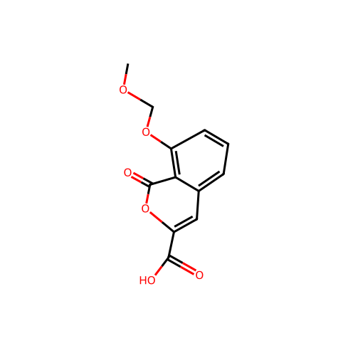 COCOc1cccc2cc(C(=O)O)oc(=O)c12